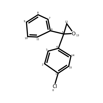 Clc1ccc(C2(c3ccccc3)CO2)cc1